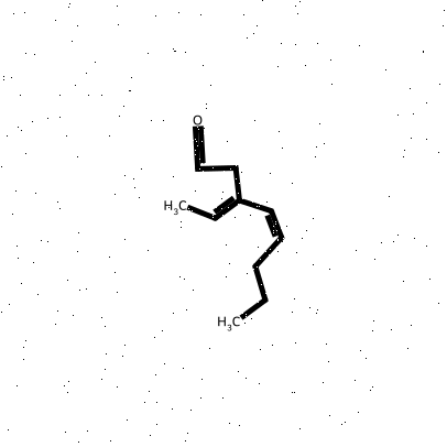 CC=C(/C=C\CCC)CC=O